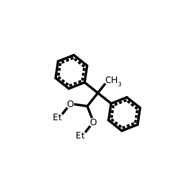 CCOC(OCC)C(C)(c1ccccc1)c1ccccc1